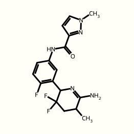 CC1CC(F)(F)C(c2cc(NC(=O)c3ccn(C)n3)ccc2F)N=C1N